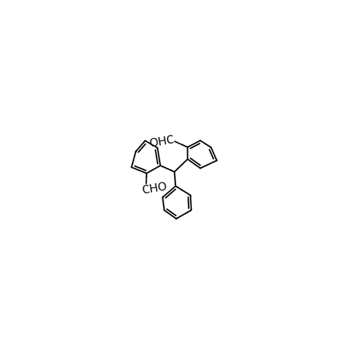 O=Cc1ccccc1C(c1ccccc1)c1ccccc1C=O